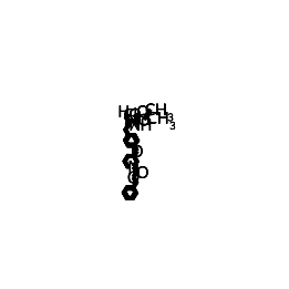 CC(C)(C)OC(=O)N[C@H](CCl)Cc1ccc(OC2CCCN(C(=O)OCc3ccccc3)C2)cc1